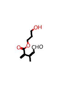 C=C(C(=O)OCCCO)C(C)=CC=O